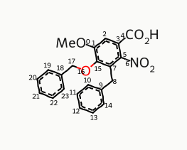 COc1cc(C(=O)O)c([N+](=O)[O-])c(Cc2ccccc2)c1OCc1ccccc1